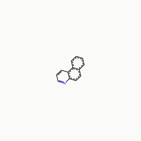 C1=Cc2c(ccc3ccccc23)[N+]=C1